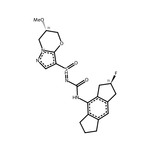 CO[C@@H]1COc2c([SH](=O)=NC(=O)Nc3c4c(cc5c3C[C@@H](F)C5)CCC4)cnn2C1